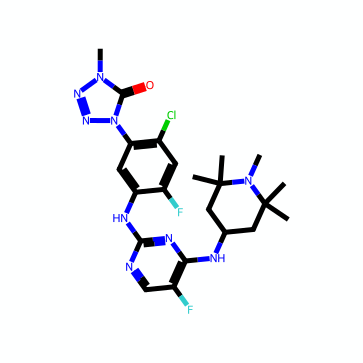 CN1C(C)(C)CC(Nc2nc(Nc3cc(-n4nnn(C)c4=O)c(Cl)cc3F)ncc2F)CC1(C)C